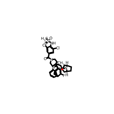 Cc1nc2ccccc2n1[C@H]1C[C@H]2CC[C@@H](C1)N2CCC1(c2cccc(F)c2)CCN(C(=O)c2cc(Cl)c(NS(C)(=O)=O)c(Cl)c2)CC1